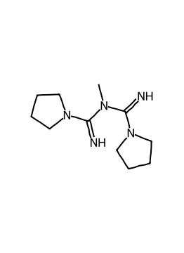 CN(C(=N)N1CCCC1)C(=N)N1CCCC1